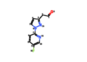 O=CCc1ccn(-c2ccc(F)cn2)n1